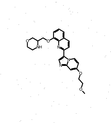 COCCOc1ccn2c(-c3ccc4cccc(OCC5COCCN5)c4n3)cnc2c1